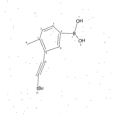 Cc1ccc(B(O)O)cc1C#CC(C)(C)C